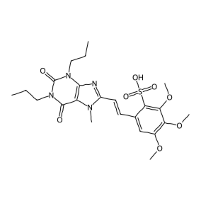 CCCn1c(=O)c2c(nc(C=Cc3cc(OC)c(OC)c(OC)c3S(=O)(=O)O)n2C)n(CCC)c1=O